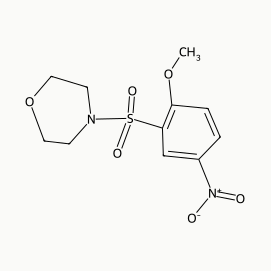 COc1ccc([N+](=O)[O-])cc1S(=O)(=O)N1CCOCC1